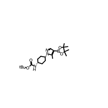 Cc1c(B2OC(C)(C)C(C)(C)O2)cnn1[C@H]1CC[C@@H](NC(=O)OC(C)(C)C)CC1